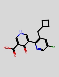 O=C(O)c1c[nH]cc(-c2ncc(F)cc2CC2CCC2)c1=O